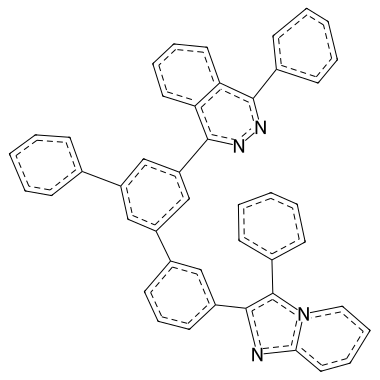 c1ccc(-c2cc(-c3cccc(-c4nc5ccccn5c4-c4ccccc4)c3)cc(-c3nnc(-c4ccccc4)c4ccccc34)c2)cc1